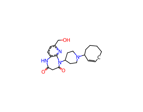 O=C1CC(=O)N(C2CCN(C3/C=C\CCCCC3)CC2)c2nc(CO)ccc2N1